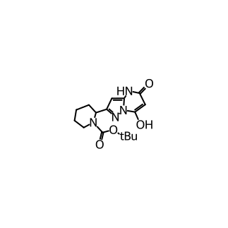 CC(C)(C)OC(=O)N1CCCCC1c1cc2[nH]c(=O)cc(O)n2n1